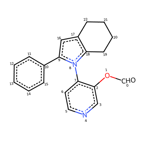 O=COc1cnccc1-n1c(-c2ccccc2)cc2c1CCCC2